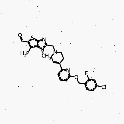 Cn1c(CN2CC=C(c3cccc(OCc4ccc(Cl)cc4F)n3)CC2)nc2sc(C=O)c(P)c21